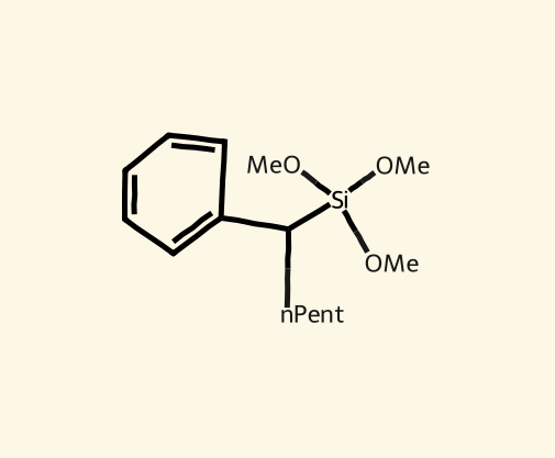 CCCCCC(c1ccccc1)[Si](OC)(OC)OC